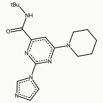 CC(C)(C)NC(=O)c1cc(N2CCCCC2)nc(-n2ccnc2)n1